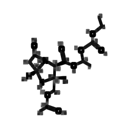 CCOC(=O)OC(C)OC(=O)[C@@H]1N2C(=O)C[C@H]2S[C@@]1(C)COC(C)=O